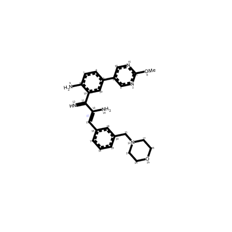 COc1ncc(-c2ccc(N)c(C(=N)/C(N)=C/c3cccc(CN4CCOCC4)c3)c2)cn1